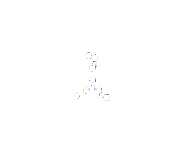 c1ccc(-c2ccc(N(c3ccc(-c4ccc5c(c4)oc4ccc6ccccc6c45)cc3)c3ccc4c(c3)oc3ccccc34)cc2)cc1